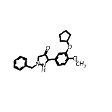 COc1ccc(C2NN(Cc3ccccc3)CC2=O)cc1OC1CCCC1